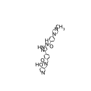 CN1CCN(c2ccc(C(=O)Nc3cc(-c4ccc(CN(Cc5cccnc5)C(=O)O)cc4)n[nH]3)cc2)CC1